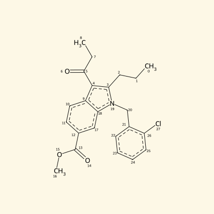 CCCc1c(C(=O)CC)c2ccc(C(=O)OC)cc2n1Cc1ccccc1Cl